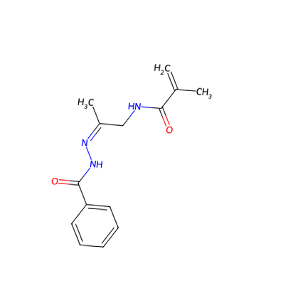 C=C(C)C(=O)NCC(C)=NNC(=O)c1ccccc1